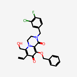 C=Cc1c(CO)n2c(c(OCc3ccccc3)c1=O)C(=O)N(Cc1ccc(F)c(Cl)c1)CC2